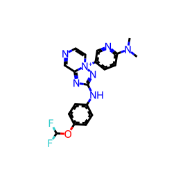 CN(C)c1ccc([N+]23C=CN=CC2=NC(Nc2ccc(OC(F)F)cc2)=N3)cn1